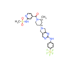 C[C@@H]1C[C@H](N2Cc3cnc(Nc4ccc(S(F)(F)(F)(F)F)cc4)nc3C2)CCN1C(=O)c1ccnc(NS(C)(=O)=O)c1